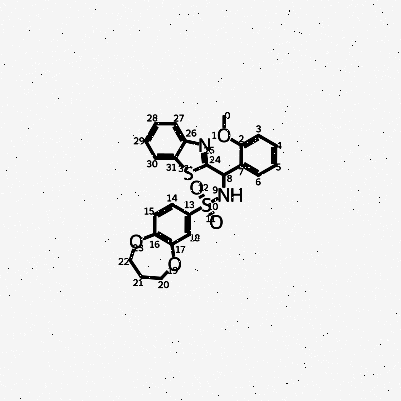 COc1ccccc1C(NS(=O)(=O)c1ccc2c(c1)OCCCO2)c1nc2ccccc2s1